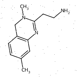 Cc1ccc2c(c1)N=C(CCN)N(C)C2